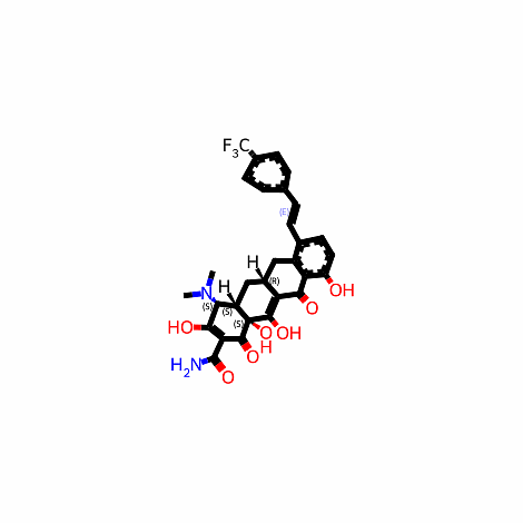 CN(C)[C@@H]1C(O)=C(C(N)=O)C(=O)[C@@]2(O)C(O)=C3C(=O)c4c(O)ccc(/C=C/c5ccc(C(F)(F)F)cc5)c4C[C@H]3C[C@@H]12